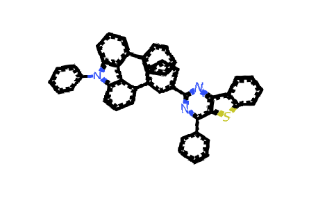 c1ccc(-c2nc(-c3cccc(-c4cccc5c4c4c(-c6ccccc6)cccc4n5-c4ccccc4)c3)nc3c2sc2ccccc23)cc1